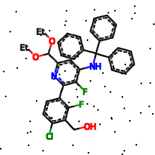 CCOC(OCC)c1cc(NC(c2ccccc2)(c2ccccc2)c2ccccc2)c(F)c(-c2ccc(Cl)c(CO)c2F)n1